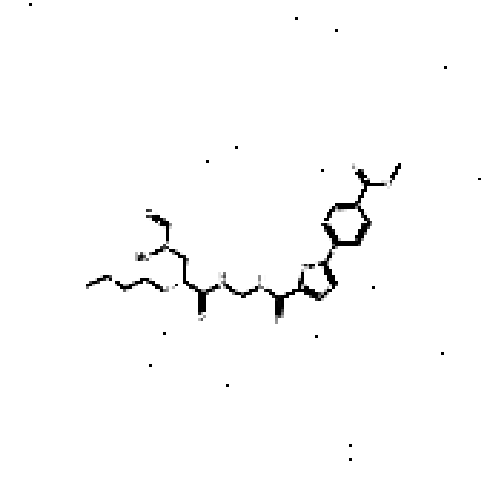 CCCCC[C@H](CN(O)C=O)C(=O)NCNC(=O)c1ccc(-c2ccc(C(=O)OC)cc2)o1